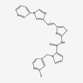 O=C(Nc1nc(/C=C/c2cn(-c3cccnc3)cn2)cs1)c1cccn1Cc1ccnc(F)c1